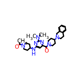 CC(=O)N1CCC(Nc2cc(C(=O)N3CCC(N4CCc5ccccc5C4)CC3)nc(N(C)C)n2)CC1